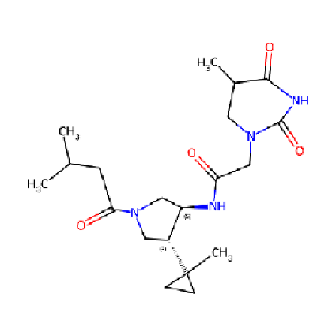 CC(C)CC(=O)N1C[C@@H](C2(C)CC2)[C@H](NC(=O)CN2CC(C)C(=O)NC2=O)C1